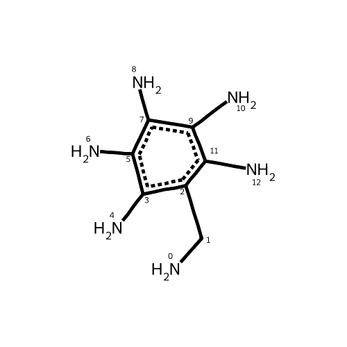 NCc1c(N)c(N)c(N)c(N)c1N